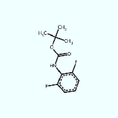 CC(C)(C)OC(=O)Nc1c(F)cccc1F